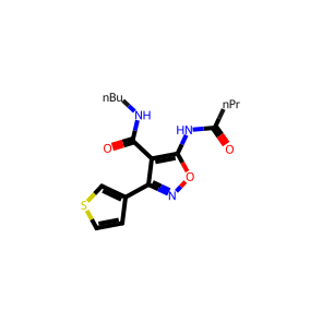 CCCCNC(=O)c1c(-c2ccsc2)noc1NC(=O)CCC